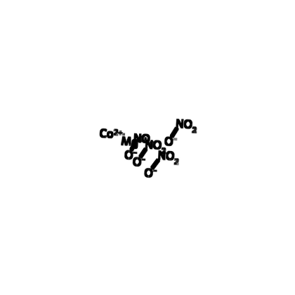 O=[N+]([O-])[O-].O=[N+]([O-])[O-].O=[N+]([O-])[O-].O=[N+]([O-])[O-].[Co+2].[Mg+2]